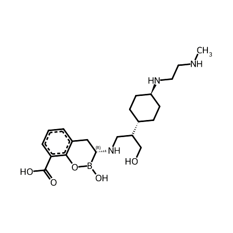 CNCCN[C@H]1CC[C@H](C(CO)CN[C@H]2Cc3cccc(C(=O)O)c3OB2O)CC1